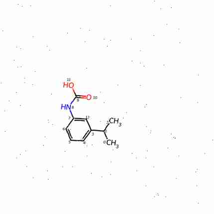 CC(C)c1cccc(NC(=O)O)c1